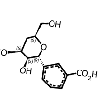 O=C(O)c1cccc([C@H]2O[C@H](CO)C[C@H](O)[C@@H]2O)c1